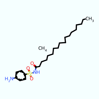 C.CCCCCCCCCCCCCCCCCC(=O)NS(=O)(=O)c1ccc(N)cc1